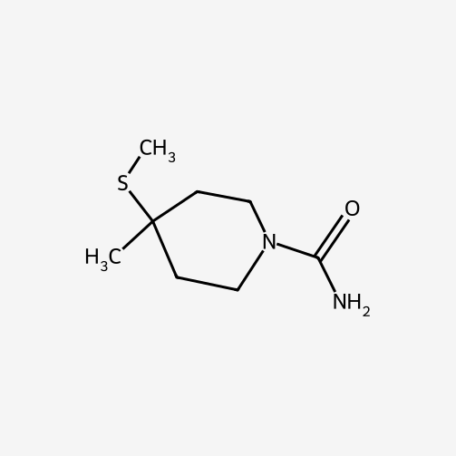 CSC1(C)CCN(C(N)=O)CC1